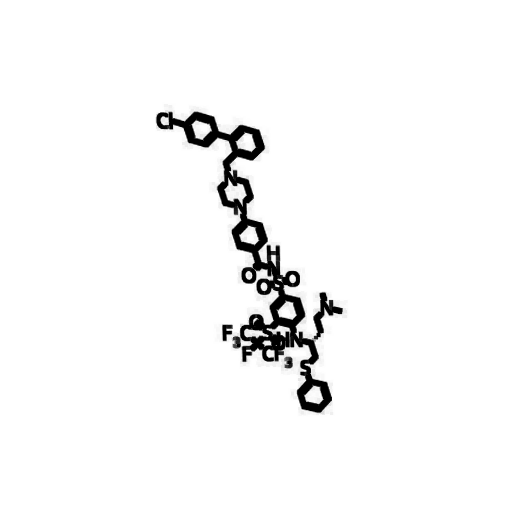 CN(C)CC[C@H](CSc1ccccc1)Nc1ccc(S(=O)(=O)NC(=O)c2ccc(N3CCN(Cc4ccccc4-c4ccc(Cl)cc4)CC3)cc2)cc1S(=O)(=O)C(F)(C(F)(F)F)C(F)(F)F